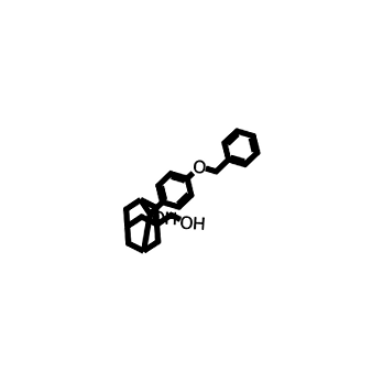 OCC12CC3CC(C1)C(O)(c1ccc(OCc4ccccc4)cc1)C(C3)C2